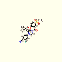 CC(C)(C)COc1ccc(S(C)(=O)=O)cc1C(=O)N1CCN(c2ccc(C#N)c(F)c2)CC1